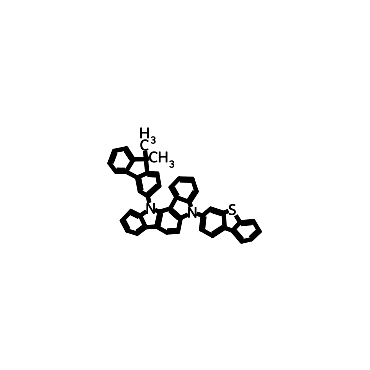 CC1(C)c2ccccc2-c2cc(-n3c4ccccc4c4ccc5c(c6ccccc6n5-c5ccc6c(c5)sc5ccccc56)c43)ccc21